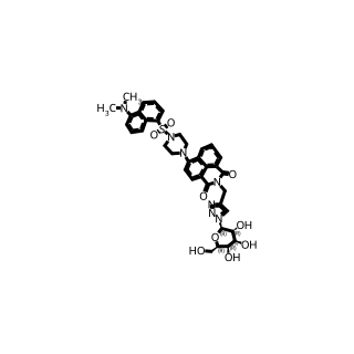 CN(C)c1cccc2c(S(=O)(=O)N3CCN(c4ccc5c6c(cccc46)C(=O)N(Cc4cn([C@@H]6O[C@H](CO)[C@H](O)[C@H](O)[C@H]6O)nn4)C5=O)CC3)cccc12